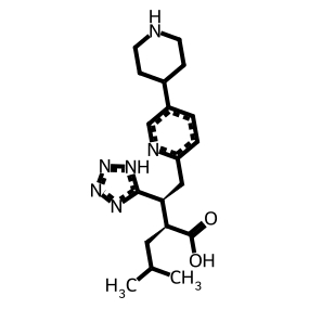 CC(C)C[C@H](C(=O)O)[C@H](Cc1ccc(C2CCNCC2)cn1)c1nnn[nH]1